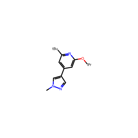 CC(C)Oc1cc(-c2cnn(C)c2)cc(C(C)(C)C)n1